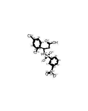 O=C(O)CC(NS(=O)(=O)c1cccc([N+](=O)[O-])c1)c1ccc(Cl)cc1Cl